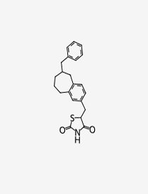 O=C1NC(=O)C(Cc2ccc3c(c2)CCCC(Cc2ccccc2)C3)S1